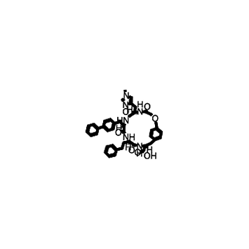 Cn1cnc(C[C@@H]2NC(=O)COc3ccc(cc3)C[C@@H](C(=O)O)NC(=O)[C@H](CCc3ccccc3)NC(=O)[C@@H](Cc3ccc(-c4ccccc4)cc3)NC2=O)c1